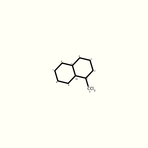 ClC(Cl)(Cl)[C]1CCCC2CCCCC12